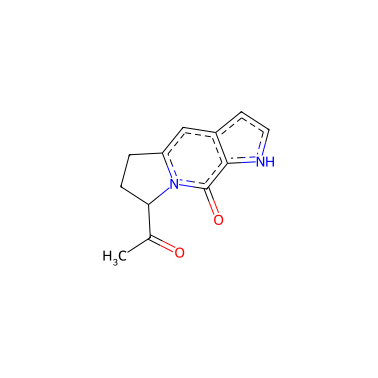 CC(=O)C1CCc2cc3cc[nH]c3c(=O)n21